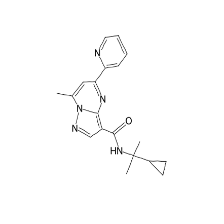 Cc1cc(-c2ccccn2)nc2c(C(=O)NC(C)(C)C3CC3)cnn12